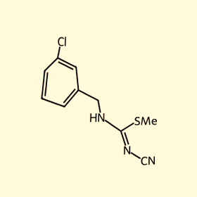 CS/C(=N\C#N)NCc1cccc(Cl)c1